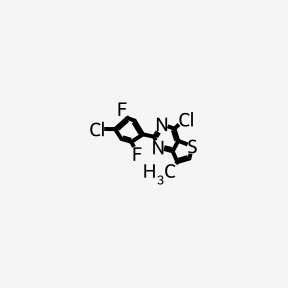 Cc1csc2c(Cl)nc(-c3cc(F)c(Cl)cc3F)nc12